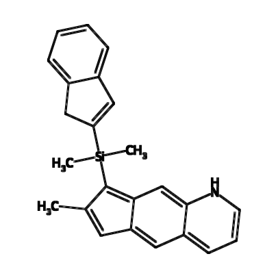 Cc1cc2cc3ccc[nH]c3cc2c1[Si](C)(C)C1=Cc2ccccc2C1